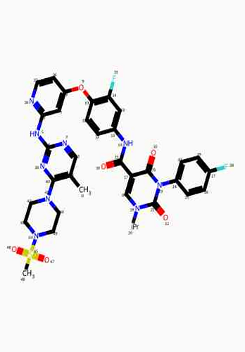 Cc1cnc(Nc2cc(Oc3ccc(NC(=O)c4cn(C(C)C)c(=O)n(-c5ccc(F)cc5)c4=O)cc3F)ccn2)nc1N1CCN(S(C)(=O)=O)CC1